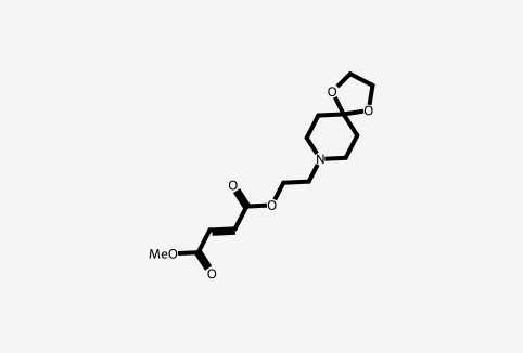 COC(=O)C=CC(=O)OCCN1CCC2(CC1)OCCO2